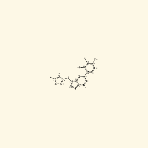 Cc1nnc(Cn2ncc3ncc(-c4ccc(F)c(C)c4F)cc32)s1